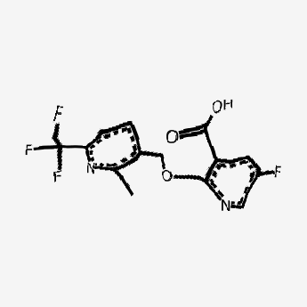 Cc1nc(C(F)(F)F)ccc1COc1ncc(F)cc1C(=O)O